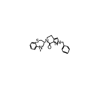 CN1C[C@@H](N2CCc3cn(Cc4ccccc4)nc3C2=O)CSc2ccccc21